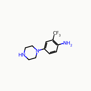 Nc1ccc(N2CCNCC2)cc1C(F)(F)F